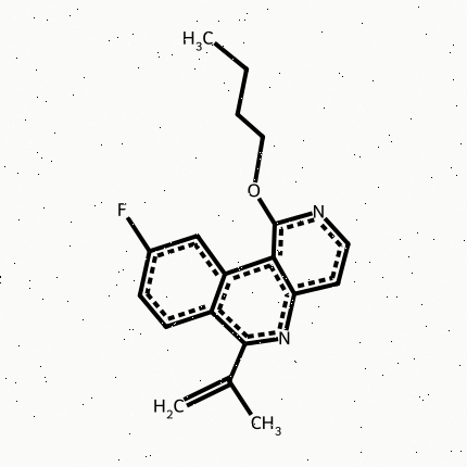 C=C(C)c1nc2ccnc(OCCCC)c2c2cc(F)ccc12